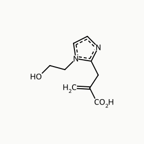 C=C(Cc1nccn1CCO)C(=O)O